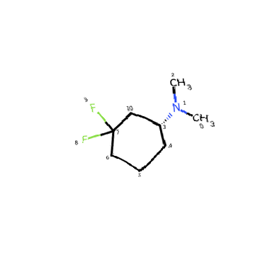 CN(C)[C@@H]1CCCC(F)(F)C1